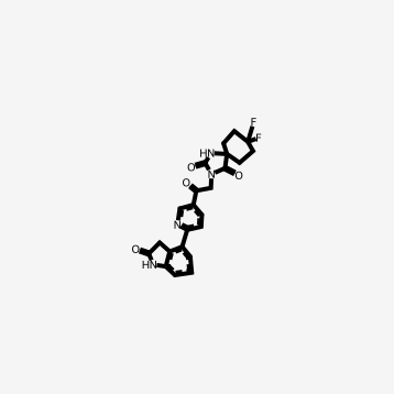 O=C1Cc2c(cccc2-c2ccc(C(=O)CN3C(=O)NC4(CCC(F)(F)CC4)C3=O)cn2)N1